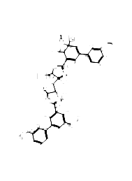 COc1cccc(C2=CC(Br)(OC)C(Br)C(C3=N[C@](C)(C[C@@]4(C)N=C(c5cc(OC)cc(-c6cccc(OC)c6)c5)O[CH]4[Pd])[CH]([Pd])O3)=C2)c1